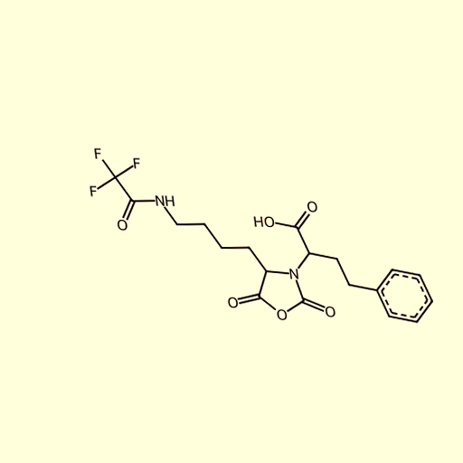 O=C(O)C(CCc1ccccc1)N1C(=O)OC(=O)C1CCCCNC(=O)C(F)(F)F